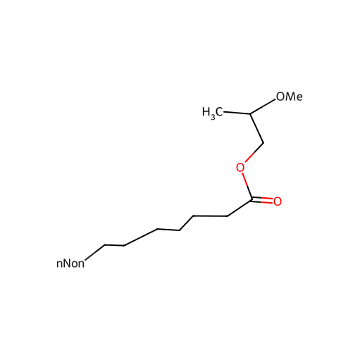 CCCCCCCCCCCCCCCC(=O)OCC(C)OC